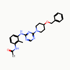 CCC(=O)Nc1cccc(Nc2ncnc(N3CCC(OCc4ccccc4)CC3)n2)c1C